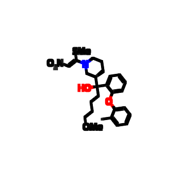 COCCCC[C@@](O)(c1ccccc1Oc1ccccc1C)[C@@H]1CCCN(/C(=C/[N+](=O)[O-])SC)C1